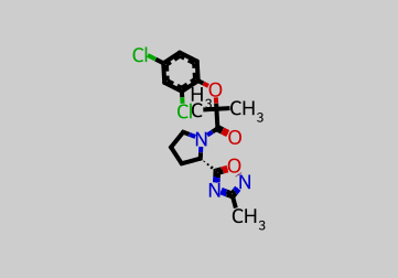 Cc1noc([C@@H]2CCCN2C(=O)C(C)(C)Oc2ccc(Cl)cc2Cl)n1